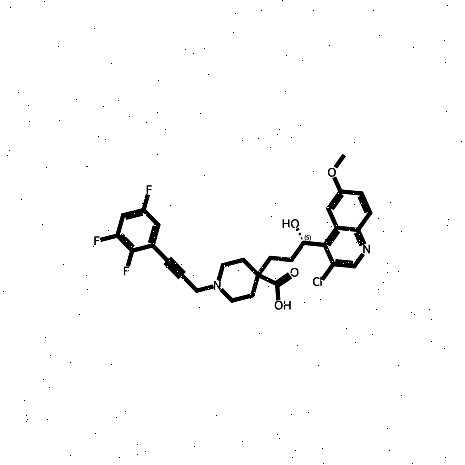 COc1ccc2ncc(Cl)c([C@@H](O)CCC3(C(=O)O)CCN(CC#Cc4cc(F)cc(F)c4F)CC3)c2c1